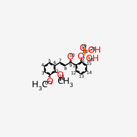 COc1cccc(C=CC(=O)c2ccccc2OP(=O)(O)O)c1OC